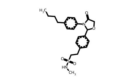 CCCCc1ccc(N2C(=O)COC2c2ccc(CCS(=O)(=O)NC)cc2)cc1